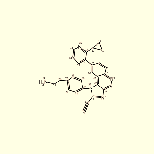 C#Cc1nc2cnc3ccc(-c4cccnc4C4CC4)cc3c2n1-c1ccc(CCN)cc1